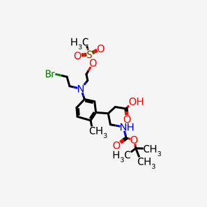 Cc1ccc(N(CCBr)CCOS(C)(=O)=O)cc1C(CNC(=O)OC(C)(C)C)CC(=O)O